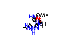 [2H]C([2H])([2H])n1c(=O)n([C@@H]2CC[C@@]([2H])(NC(=O)OC)C2)c2cc(Nc3cc(C)c4nc(C)c(I)n4n3)ncc21